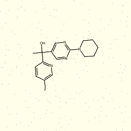 CC(O)(c1cnc(N2CCCCC2)nc1)c1ccc(F)cn1